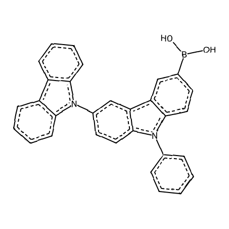 OB(O)c1ccc2c(c1)c1cc(-n3c4ccccc4c4ccccc43)ccc1n2-c1ccccc1